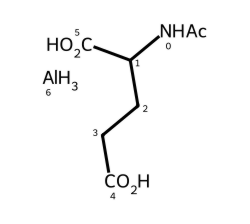 CC(=O)NC(CCC(=O)O)C(=O)O.[AlH3]